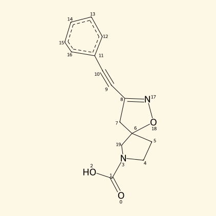 O=C(O)N1CCC2(CC(C#Cc3ccccc3)=NO2)C1